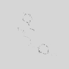 CCCN(CCOc1ccc(Cl)cc1)C(=O)c1cncs1